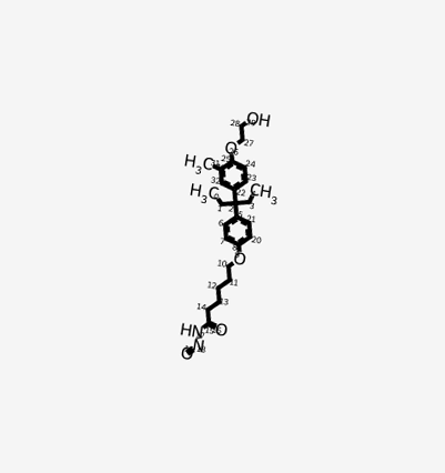 CCC(CC)(c1ccc(OCCCCCC(=O)NN=O)cc1)c1ccc(OCCO)c(C)c1